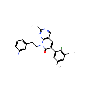 CNc1ncc2cc(-c3cc(OC)cc(OC)c3Cl)c(=O)n(CCc3cccc(N)c3)c2n1